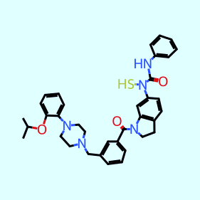 CC(C)Oc1ccccc1N1CCN(Cc2cccc(C(=O)N3CCc4ccc(N(S)C(=O)Nc5ccccc5)cc43)c2)CC1